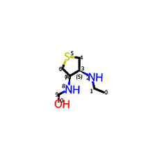 CCN[C@@H]1CSC[C@@H]1NCO